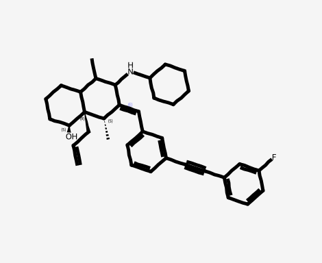 C=CC[C@]12C(CCC[C@@H]1O)C(C)C(NC1CCCCC1)/C(=C/c1cccc(C#Cc3cccc(F)c3)c1)[C@@H]2C